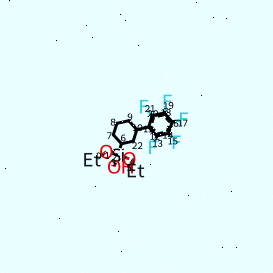 CCO[Si](O)(OCC)C1CCCC(c2c(F)c(F)c(F)c(F)c2F)C1